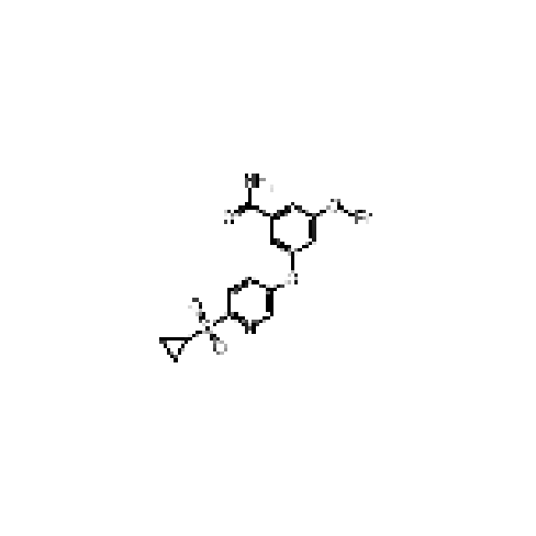 CC(C)Oc1cc(Oc2ccc(S(=O)(=O)C3CC3)nc2)cc(C(N)=O)c1